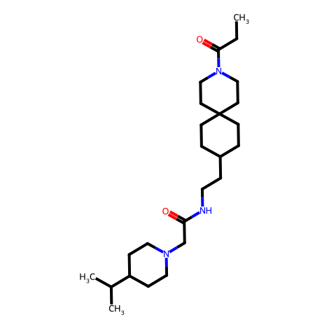 CCC(=O)N1CCC2(CCC(CCNC(=O)CN3CCC(C(C)C)CC3)CC2)CC1